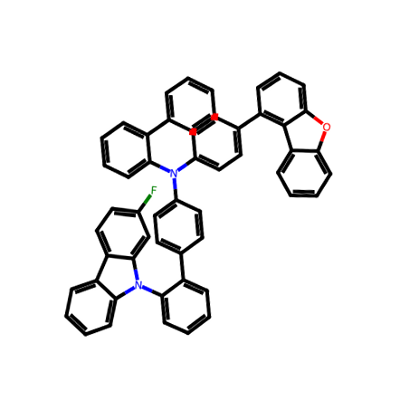 Fc1ccc2c3ccccc3n(-c3ccccc3-c3ccc(N(c4ccc(-c5cccc6oc7ccccc7c56)cc4)c4ccccc4-c4ccccc4)cc3)c2c1